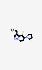 C=Cc1cnn2ccc(N3CCCC3)c(F)c12